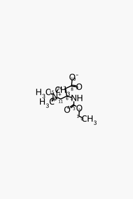 CCOC(=O)NC(CC(=O)[O-])C[N+](C)(C)C